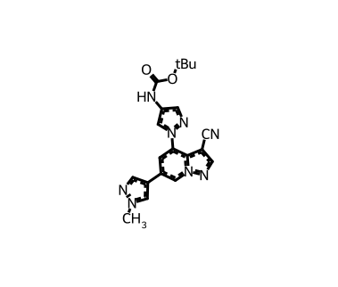 Cn1cc(-c2cc(-n3cc(NC(=O)OC(C)(C)C)cn3)c3c(C#N)cnn3c2)cn1